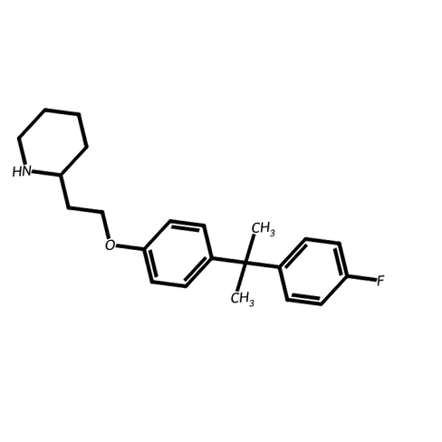 CC(C)(c1ccc(F)cc1)c1ccc(OCCC2CCCCN2)cc1